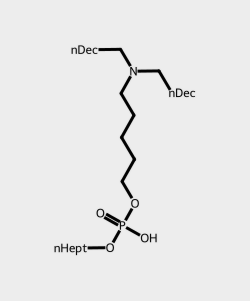 CCCCCCCCCCCN(CCCCCCCCCCC)CCCCCOP(=O)(O)OCCCCCCC